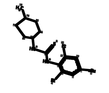 CCCCc1cc(CC)c(NC(=S)NC2CCC(C)CC2)c(CC)c1